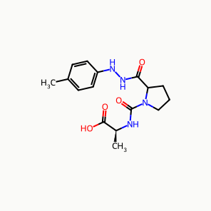 Cc1ccc(NNC(=O)C2CCCN2C(=O)N[C@@H](C)C(=O)O)cc1